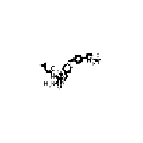 N#CCC1(n2cc(C(N)=O)c(NC(=O)CC3CC3)n2)CCN(Cc2ccc(-c3ccn(C(F)(F)F)n3)cc2)CC1